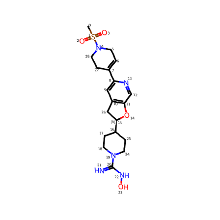 CS(=O)(=O)N1CC=C(c2cc3c(cn2)O[C@@H](C2CCN(C(=N)NO)CC2)C3)CC1